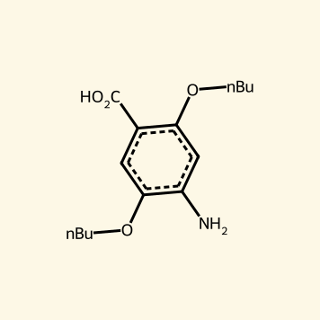 CCCCOc1cc(C(=O)O)c(OCCCC)cc1N